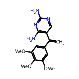 C=C(c1cc(OC)c(OC)c(OC)c1)c1cnc(N)nc1N